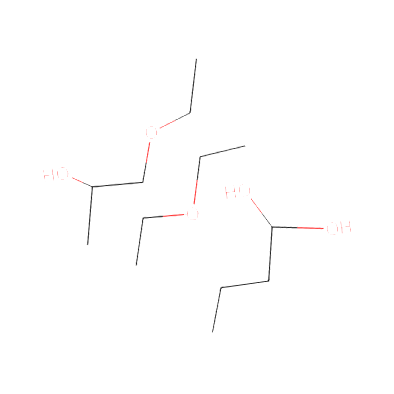 CCCC(O)O.CCOCC.CCOCC(C)O